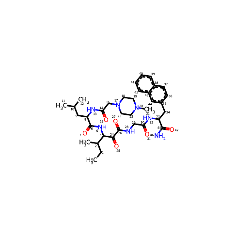 CCC(C)C(NC(=O)C(CC(C)C)NC(=O)CN1CCN(C)CC1)C(=O)C(=O)NCC(=O)NC(Cc1ccc2ccccc2c1)C(N)=O